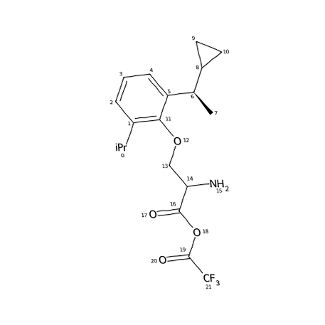 CC(C)c1cccc([C@H](C)C2CC2)c1OCC(N)C(=O)OC(=O)C(F)(F)F